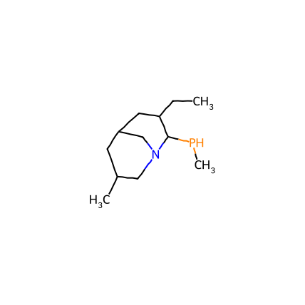 CCC1CC2CC(C)CN(C2)C1PC